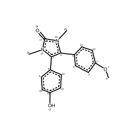 COc1ccc(-c2c(-c3ccc(O)cc3)n(C)c(=O)n2C)cc1